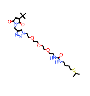 CC(C)SCCCCNC(=O)NCCOCCOCCOCCn1cc(CN2C(=O)C=C(C(C)(C)C)C2=O)nn1